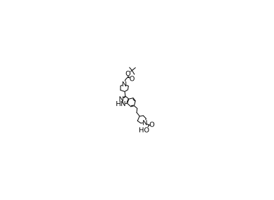 CC(C)(C)OC(=O)CN1CCC(c2n[nH]c3cc(CCC4CCN(C(=O)O)CC4)ccc23)CC1